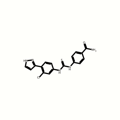 NC(=O)c1ccc(NC(=S)Nc2ccc(-c3cc[nH]n3)c(Cl)c2)cc1